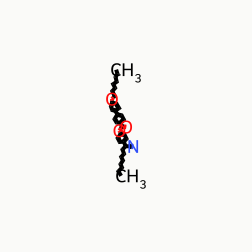 CCCCCCCCOc1ccc(-c2ccc(C(=O)Oc3ccc(C(C#N)CCCCCCCC)cc3)cc2)cc1